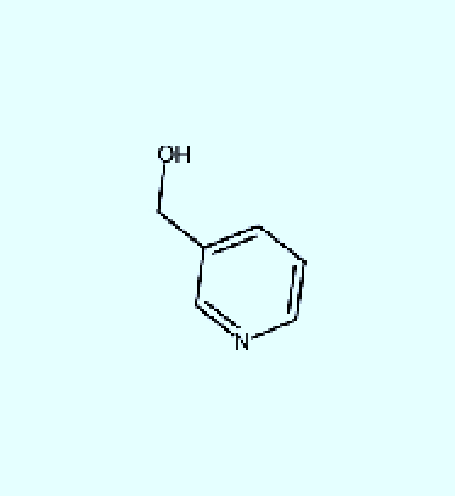 O[C]c1cccnc1